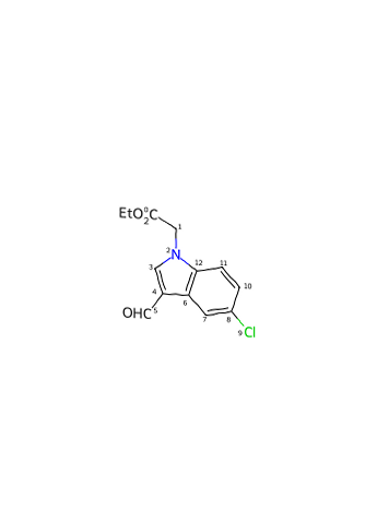 CCOC(=O)Cn1cc(C=O)c2cc(Cl)ccc21